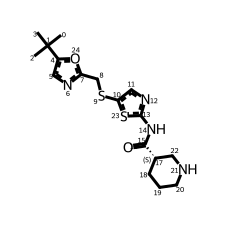 CC(C)(C)c1cnc(CSc2cnc(NC(=O)[C@H]3CCCNC3)s2)o1